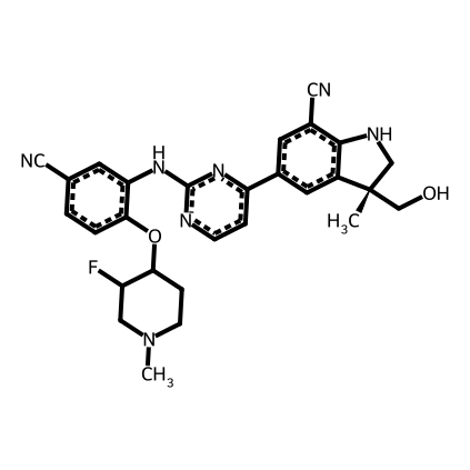 CN1CCC(Oc2ccc(C#N)cc2Nc2nccc(-c3cc(C#N)c4c(c3)[C@@](C)(CO)CN4)n2)C(F)C1